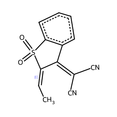 C/C=C1\C(=C(C#N)C#N)c2ccccc2S1(=O)=O